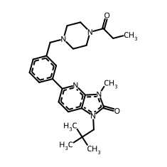 CCC(=O)N1CCN(Cc2cccc(-c3ccc4c(n3)n(C)c(=O)n4CC(C)(C)C)c2)CC1